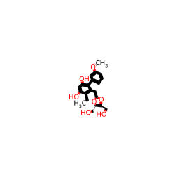 CCc1c(O)cc(O)c(-c2cccc(OC)c2)c1CC1O[C@@H](CO)[C@H](CO)O1